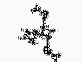 N#C[C@@H]1CC(F)(F)CN1C(=O)CNC(=O)c1ccnc2ccc(OCCCCNC(=O)N3CCN(CC(=O)O)CCN(C(=O)NCCCCOc4ccc5nccc(C(=O)NCC(=O)N6CC(F)(F)C[C@H]6C#N)c5c4)CCN(C(=O)CCC(C(=O)O)N4CCN(CC(=O)O)CCN(CC(=O)O)CCN(CC(=O)O)CC4)CC3)cc12